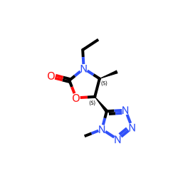 CCN1C(=O)O[C@H](c2nnnn2C)[C@@H]1C